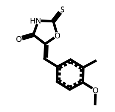 COc1ccc(/C=C2\OC(=S)NC2=O)cc1C